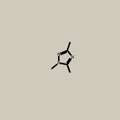 [CH2]c1nc(C)nn1C